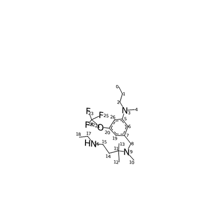 CCCN(C)c1cc(CN(C)C(C)(C)CCNCC)cc(OC(F)(F)F)c1